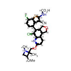 COC1CN(C)C1(C)COc1ccc2c3c(c(-c4ccc(F)c5sc(NC(=O)O)c(C#N)c45)c(Cl)c2n1)COC3